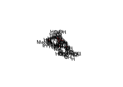 CN[C@H](CC(C)C)C(=O)N[C@H]1C(=O)N[C@@H](CC(N)=O)C(=O)NC2C(=O)N[C@H]3C(=O)N[C@H](C(=O)NC(C(=O)NCC(=O)Nc4ccc(Cl)cc4Cl)c4cc(O)cc(O)c4-c4cc3ccc4O)[C@H](O)c3ccc(c(Cl)c3)Oc3cc2cc(c3O[C@@H]2O[C@H](CO)[C@@H](O)[C@H](O)[C@H]2OC2C[C@](C)(N)[C@H](O)[C@H](C)O2)Oc2ccc(cc2Cl)[C@H]1O